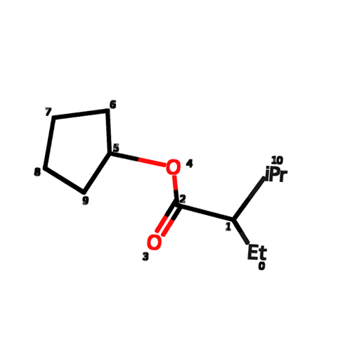 CCC(C(=O)OC1CCCC1)C(C)C